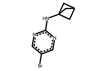 Brc1cnc(NC23CC(C2)C3)nc1